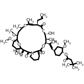 C=CC[C@@H]1/C=C(\C)C[C@H](C)C[C@H](OC)[C@H]2O[C@@](O)(C(=O)C(=O)N3CCCC[C@H]3C(=O)O[C@H](/C(C)=C/[C@@H]3CC[C@@H](OC(=O)CC(C)(C)C)[C@H](OC)C3)[C@H](C)[C@@H](O)CC1=O)[C@H](C)C[C@@H]2OC